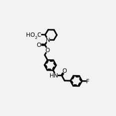 O=C(Cc1ccc(F)cc1)Nc1ccc(COC(=O)N2CCCCC2C(=O)O)cc1